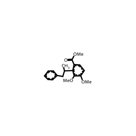 COC(=O)c1ccc(OC)c(OC)c1C(C)Cc1ccccc1